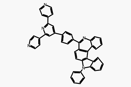 c1ccc(-n2c3ccccc3c3c4c(ccc32)c(-c2ccc(-c3cc(-c5ccncc5)nc(-c5ccncc5)c3)cc2)nc2ccccc24)cc1